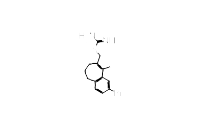 CC1=C(CSC(=N)N)CCCc2ccc(Br)cc21